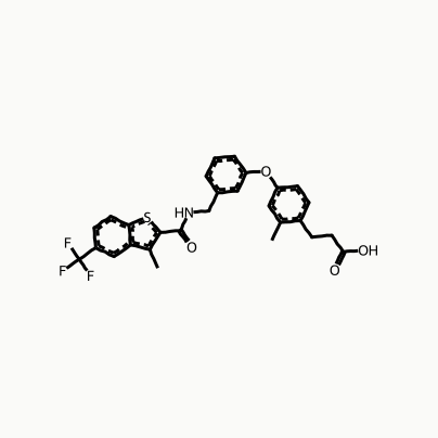 Cc1cc(Oc2cccc(CNC(=O)c3sc4ccc(C(F)(F)F)cc4c3C)c2)ccc1CCC(=O)O